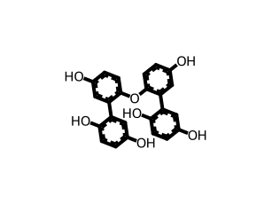 Oc1ccc(O)c(-c2cc(O)ccc2Oc2ccc(O)cc2-c2cc(O)ccc2O)c1